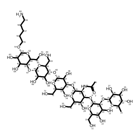 CC(=O)N[C@H]1C(O[C@@H]2OC(CO)[C@H](O)C(O)[C@@H]2O[C@@H]2OC(C)[C@@H](O)C(O)[C@@H]2O)[C@@H](O)C(CO)O[C@H]1O[C@@H]1C(O)[C@@H](O[C@H]2C(CO)O[C@@H](O[C@@H]3C(CO)O[C@@H](OCCCCCN)C(O)C3O)C(O)C2O)OC(CO)[C@@H]1O